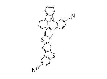 N#Cc1ccc(-c2ccc3sc4cc5c(cc4c3c2)sc2ccc(C#N)cc25)c(-n2c3ccccc3c3ccccc32)c1